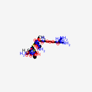 CCCC[C@H](NC(=O)CCC(=O)NCCCOCCOCCOCCCNC(=O)C(CNCCN)CNCCN)C(=O)N=CC(CSCc1cncc(CSCC(NC(=O)[C@H](Cc2ccccc2)NC(=O)[C@H](CCC(N)=O)NC(=O)[C@@H](C)CC)C(=O)O)c1)C(=O)N1CCC[C@H]1C(=O)N1CCC[C@H]1C(N)=O